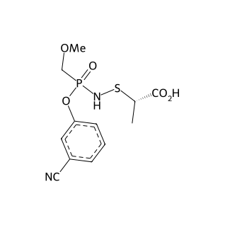 COCP(=O)(NS[C@@H](C)C(=O)O)Oc1cccc(C#N)c1